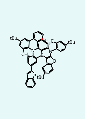 Cc1cc(C(C)(C)C)ccc1N1c2cccc3c2B(c2cc(-c4cc5ccccc5s4)ccc2N3c2c(C)cc(C(C)(C)C)cc2-c2ccccc2)c2c1oc1ccc(C(C)(C)C)cc21